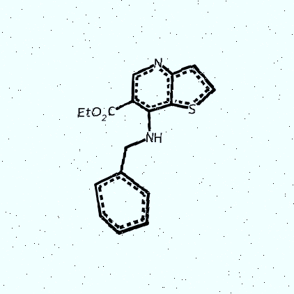 CCOC(=O)c1cnc2ccsc2c1NCc1ccccc1